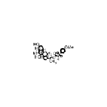 CC[C@H]1[C@@H](O)[C@@H]2[C@H](CC[C@]3(C)[C@@H]([C@H](C)COC(=O)NS(=O)(=O)c4ccc(OC)cc4)CC[C@@H]23)[C@@]2(C)CC[C@@H](O)C[C@@H]12